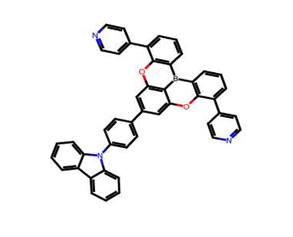 c1cc2c(c(-c3ccncc3)c1)Oc1cc(-c3ccc(-n4c5ccccc5c5ccccc54)cc3)cc3c1B2c1cccc(-c2ccncc2)c1O3